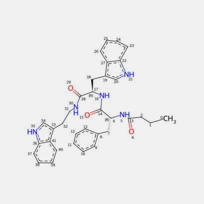 CCCC(=O)N[C@H](Cc1ccccc1)C(=O)N[C@H](Cc1c[nH]c2ccccc12)C(=O)NCCc1c[nH]c2ccccc12